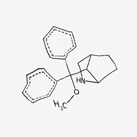 COC(c1ccccc1)(c1ccccc1)C1C2CCC1NC2